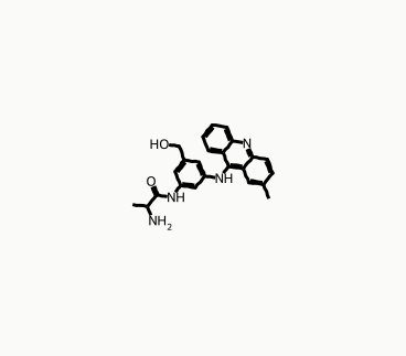 Cc1ccc2nc3ccccc3c(Nc3cc(CO)cc(NC(=O)C(C)N)c3)c2c1